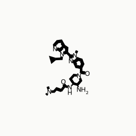 CN(C)C/C=C/C(=O)N[C@H]1CCN(C(=O)c2ccc3c(c2)nc(-c2cc4cccnc4n2CC2CC2)n3C)C[C@H]1N